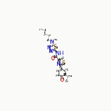 CCCCCN(C)c1nnc(NC(=O)c2csc(-c3ccc4c(c3)CCO4)n2)s1